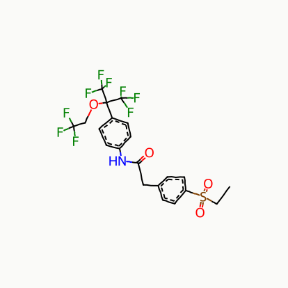 CCS(=O)(=O)c1ccc(CC(=O)Nc2ccc(C(OCC(F)(F)F)(C(F)(F)F)C(F)(F)F)cc2)cc1